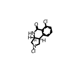 O=C1N[C@H]2CN(Cl)C[C@@H]2c2cccc(Cl)c21